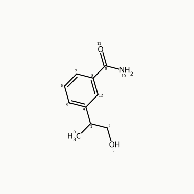 CC(CO)c1cccc(C(N)=O)c1